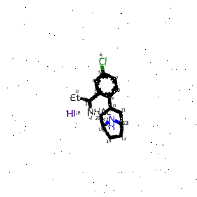 CCC(NC(C)=O)c1cc(Cl)ccc1C1CC2CCC(C1)N2.I